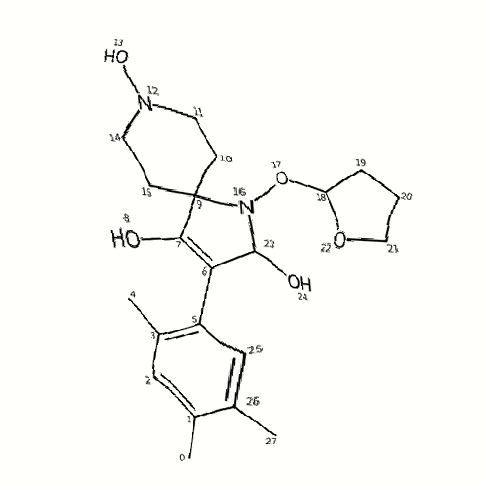 Cc1cc(C)c(C2=C(O)C3(CCN(O)CC3)N(OC3CCCO3)C2O)cc1C